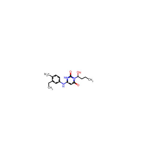 CCCC(O)n1c(=O)cc(Nc2ccc(C)c(CC)c2)[nH]c1=O